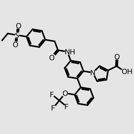 CCS(=O)(=O)c1ccc(CC(=O)Nc2ccc(-c3ccccc3OC(F)(F)F)c(-n3ccc(C(=O)O)c3)c2)cc1